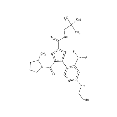 C[C@H]1CCCN1C(=O)c1nc(C(=O)NCC(C)(C)O)sc1-c1cnc(NCC(C)(C)C)cc1C(F)F